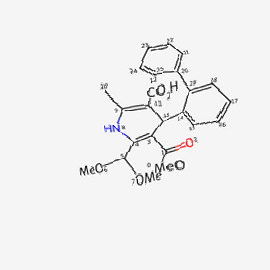 COC(=O)C1=C(C(OC)OC)NC(C)=C(C(=O)O)C1c1ccccc1-c1ccccc1